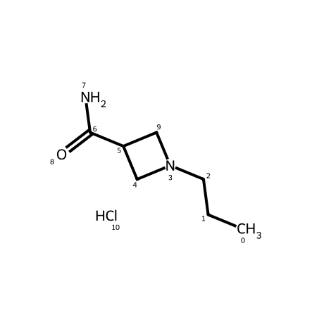 CCCN1CC(C(N)=O)C1.Cl